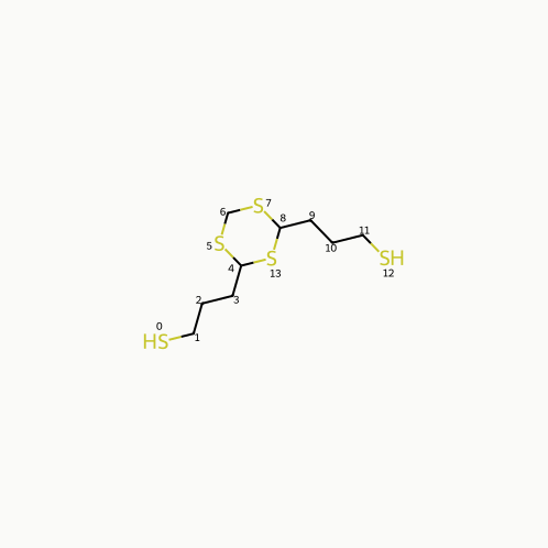 SCCCC1SCSC(CCCS)S1